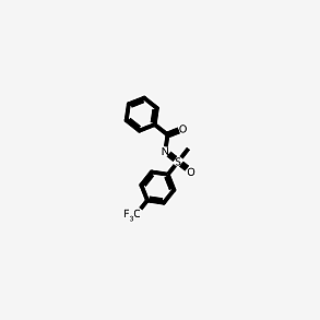 CS(=O)(=NC(=O)c1ccccc1)c1ccc(C(F)(F)F)cc1